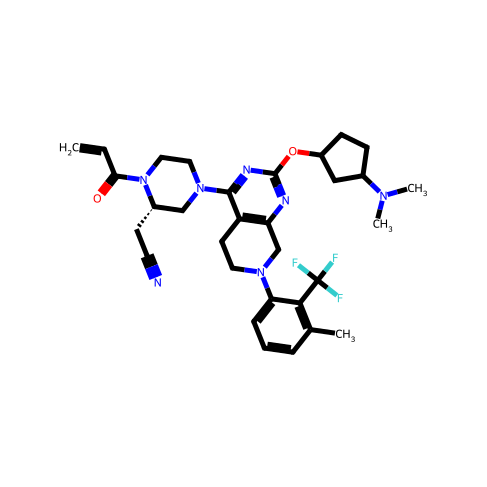 C=CC(=O)N1CCN(c2nc(OC3CCC(N(C)C)C3)nc3c2CCN(c2cccc(C)c2C(F)(F)F)C3)C[C@@H]1CC#N